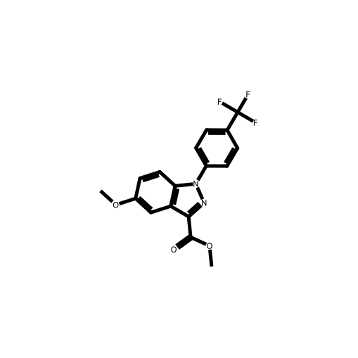 COC(=O)c1nn(-c2ccc(C(F)(F)F)cc2)c2ccc(OC)cc12